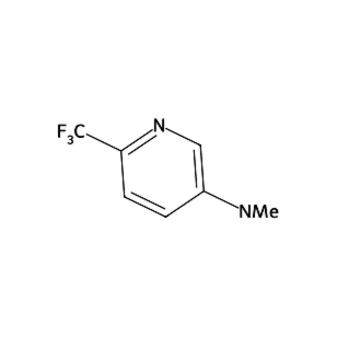 [CH2]Nc1ccc(C(F)(F)F)nc1